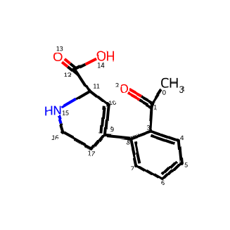 CC(=O)c1ccccc1C1=CC(C(=O)O)NCC1